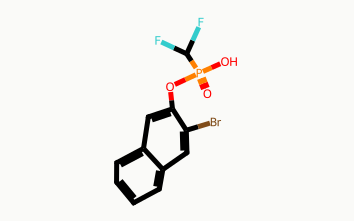 O=P(O)(Oc1cc2ccccc2cc1Br)C(F)F